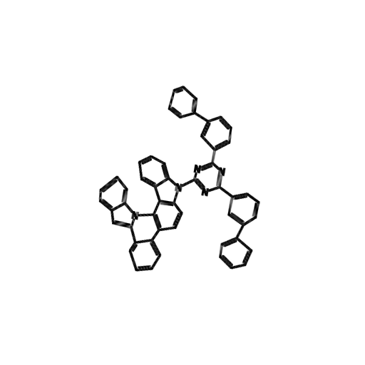 c1ccc(-c2cccc(-c3nc(-c4cccc(-c5ccccc5)c4)nc(-n4c5ccccc5c5c4ccc4c6ccccc6c6cc7ccccc7n6c45)n3)c2)cc1